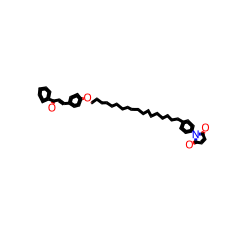 O=C(C=Cc1ccc(OCCCCCCCCCCCCCCCCCCc2ccc(N3C(=O)C=CC3=O)cc2)cc1)c1ccccc1